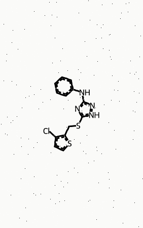 Clc1ccsc1CSc1nc(Nc2ccccc2)n[nH]1